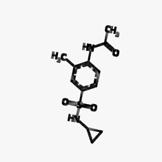 CC(=O)Nc1ccc(S(=O)(=O)NC2CC2)cc1C